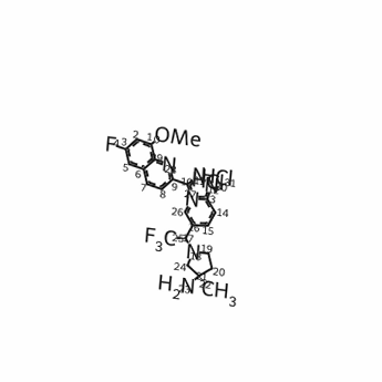 COc1cc(F)cc2ccc(-c3nnc4ccc([C@@H](N5CC[C@@](C)(N)C5)C(F)(F)F)cn34)nc12.Cl.Cl